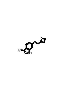 Nc1n[nH]c2cc(OCC3CCO3)ccc12